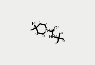 CC1(F)CCN(C(=O)NC(C)(C)C)CC1